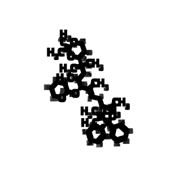 C/C(=C\CCC(C)O[Si](c1ccccc1)(c1ccccc1)C(C)(C)C)[C@H](OC1CCCCO1)C(C)CC(C)(C)[C@@H]1CCOC(C)(C)O1